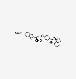 COCc1ccc2cc(N(C=O)CCOc3ccc(C(=O)Nc4ccccc4N)cc3)oc2c1